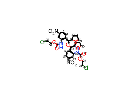 O=C(Nc1cc([N+](=O)[O-])ccc1C(OC(c1ccc([N+](=O)[O-])cc1NC(=O)OCCCl)C1CCCO1)C1CCCO1)OCCCl